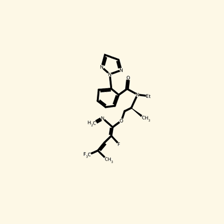 C=N/C(OC[C@H](C)N(CC)C(=O)c1ccccc1-n1nccn1)=C(F)\C=C(/C)C(F)(F)F